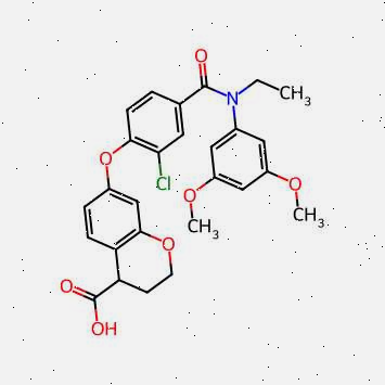 CCN(C(=O)c1ccc(Oc2ccc3c(c2)OCCC3C(=O)O)c(Cl)c1)c1cc(OC)cc(OC)c1